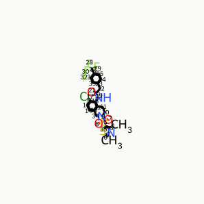 Cc1nc(C)c(S(=O)(=O)N2CCc3c(ccc(Cl)c3NC(=O)Cc3ccc(C(F)(F)F)c(F)c3)C2)s1